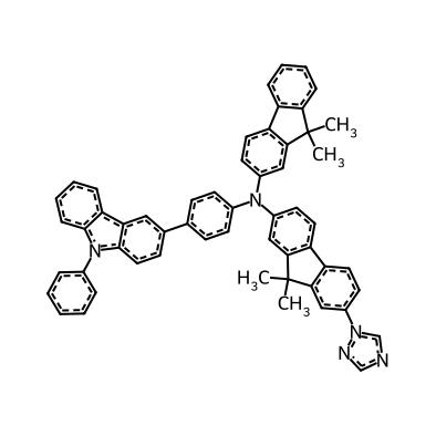 CC1(C)c2ccccc2-c2ccc(N(c3ccc(-c4ccc5c(c4)c4ccccc4n5-c4ccccc4)cc3)c3ccc4c(c3)C(C)(C)c3cc(-n5cncn5)ccc3-4)cc21